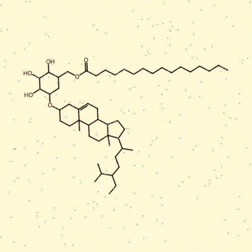 CCCCCCCCCCCCCCCC(=O)OCC1CC(OC2CCC3(C)C(=CCC4C3CCC3(C)C(C(C)CCC(CC)C(C)C)CCC43)C2)C(O)C(O)C1O